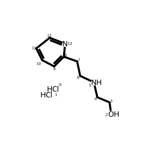 Cl.Cl.OCCNCCc1ccccn1